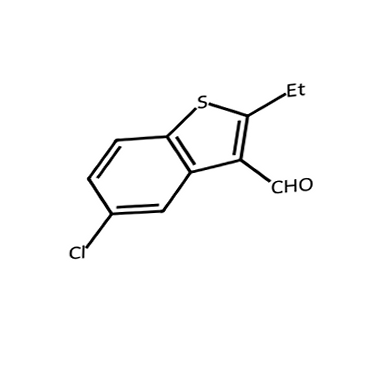 CCc1sc2ccc(Cl)cc2c1C=O